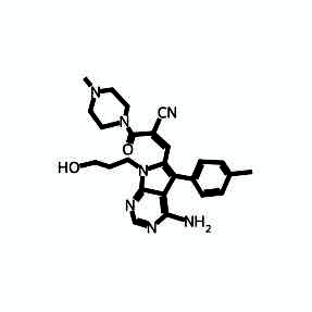 Cc1ccc(-c2c(/C=C(/C#N)C(=O)N3CCN(C)CC3)n(CCCO)c3ncnc(N)c23)cc1